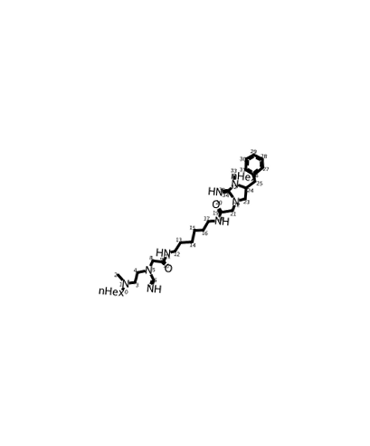 CCCCCCN(C)CCN(C=N)CC(=O)NCCCCCCNC(=O)CN1CC(Cc2ccccc2)N(CCCCCC)C1=N